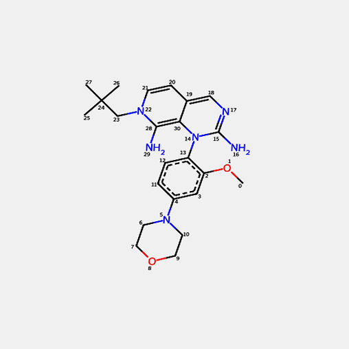 COc1cc(N2CCOCC2)ccc1N1C(N)=NC=C2C=CN(CC(C)(C)C)C(N)=C21